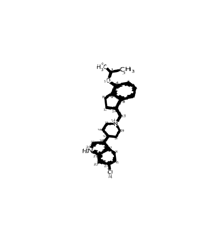 CC(C)Oc1cccc2c1CCC2CN1CCC(c2c[nH]c3cc(Cl)ccc23)CC1